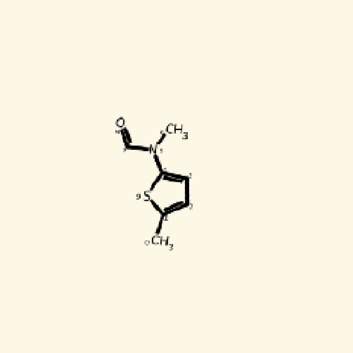 Cc1ccc(N(C)C=O)s1